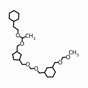 COCOCC1CCCC(COCOCC2CCC(COC(C)OCCC3CCCCC3)C2)C1